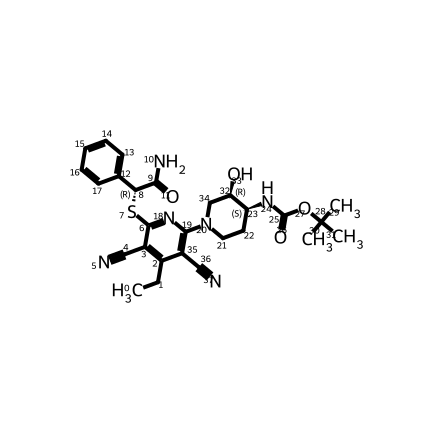 CCc1c(C#N)c(S[C@@H](C(N)=O)c2ccccc2)nc(N2CC[C@H](NC(=O)OC(C)(C)C)[C@H](O)C2)c1C#N